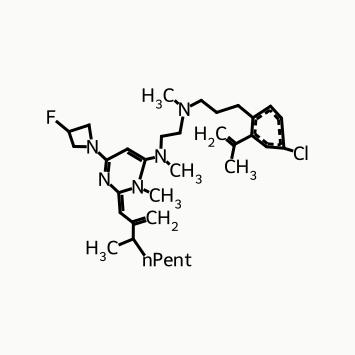 C=C(C)c1cc(Cl)ccc1CCCN(C)CCN(C)C1=CC(N2CC(F)C2)=N/C(=C/C(=C)C(C)CCCCC)N1C